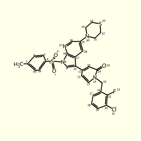 Cc1ccc(S(=O)(=O)n2cc(-c3ccn(Cc4cccc(Cl)c4F)c(=O)c3)c3cc(N4CCSCC4)cnc32)cc1